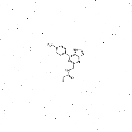 C=CC(=O)NCc1nc(-c2ccc(C(F)(F)F)cc2)c2[nH]ccc2n1